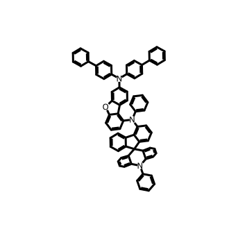 c1ccc(-c2ccc(N(c3ccc(-c4ccccc4)cc3)c3ccc4c(c3)oc3cccc(N(c5ccccc5)c5cccc6c5-c5ccccc5C65c6ccccc6N(c6ccccc6)c6ccccc65)c34)cc2)cc1